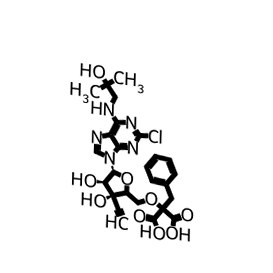 C#C[C@@]1(O)C(COC(Cc2ccccc2)(C(=O)O)C(=O)O)O[C@@H](n2cnc3c(NCC(C)(C)O)nc(Cl)nc32)[C@@H]1O